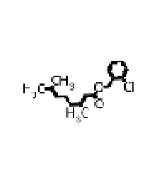 CC(C)=CCC/C(C)=C/C(=O)OCc1ccccc1Cl